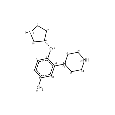 FC(F)(F)c1ccc(O[C@H]2CCNC2)c(N2CCNCC2)c1